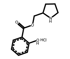 Cl.O=C(OCC1CCCN1)c1ccccc1O